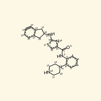 O=C(Nc1ccccc1N1CCNCC1)c1csc(NC2Cc3c#cccc3C2)n1